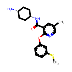 CSc1cccc(Oc2ncc(C)cc2C(=O)N[C@H]2CC[C@@H](N)CC2)c1